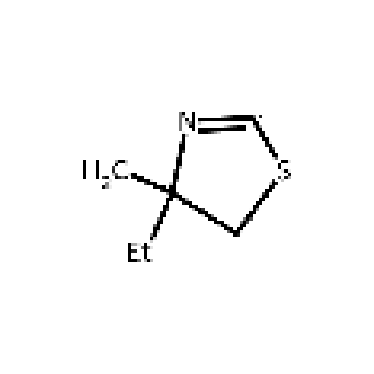 CCC1(C)CS[C]=N1